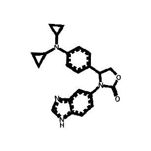 O=C1OCC(c2ccc(N(C3CC3)C3CC3)cc2)N1c1ccc2[nH]cnc2c1